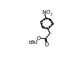 CC(C)(C)OC(=O)[CH]c1ccc([N+](=O)[O-])cc1